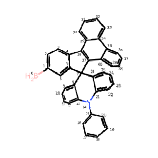 Bc1ccc2c(c1)C1(c3ccccc3N(c3ccccc3)c3ccccc31)c1c-2c2ccccc2c2ccccc12